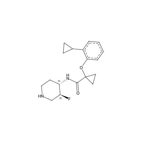 O=C(N[C@H]1CCNC[C@@H]1F)C1(Oc2ccccc2C2CC2)CC1